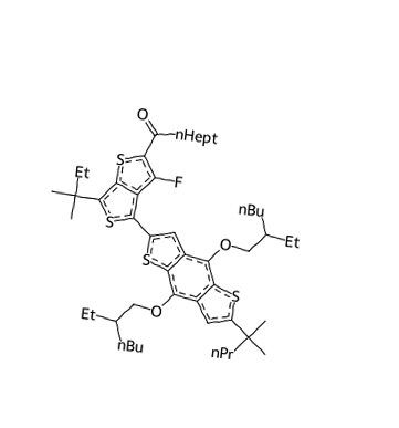 CCCCCCCC(=O)c1sc2c(C(C)(C)CC)sc(-c3cc4c(OCC(CC)CCCC)c5sc(C(C)(C)CCC)cc5c(OCC(CC)CCCC)c4s3)c2c1F